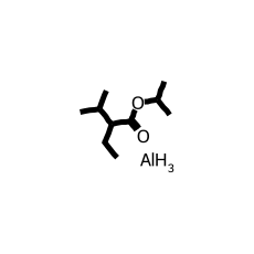 CCC(C(=O)OC(C)C)C(C)C.[AlH3]